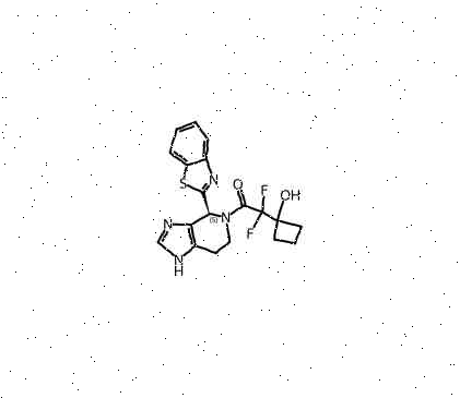 O=C(N1CCc2[nH]cnc2[C@H]1c1nc2ccccc2s1)C(F)(F)C1(O)CCC1